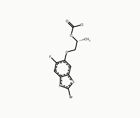 C[C@H](COc1cc2sc(Br)nc2cc1F)OC(=O)Cl